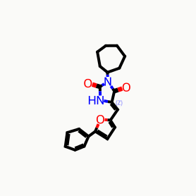 O=C1N/C(=C\c2ccc(-c3ccccc3)o2)C(=O)N1C1CCCCCC1